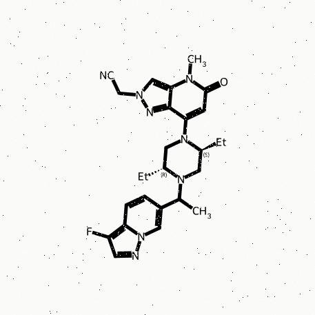 CC[C@H]1CN(C(C)c2ccc3c(F)cnn3c2)[C@H](CC)CN1c1cc(=O)n(C)c2cn(CC#N)nc12